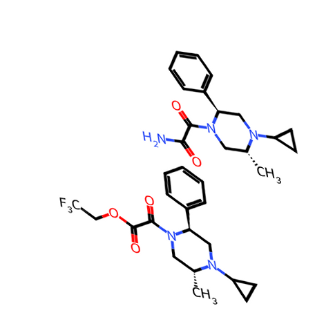 C[C@@H]1CN(C(=O)C(=O)OCC(F)(F)F)[C@@H](c2ccccc2)CN1C1CC1.C[C@@H]1CN(C(=O)C(N)=O)[C@@H](c2ccccc2)CN1C1CC1